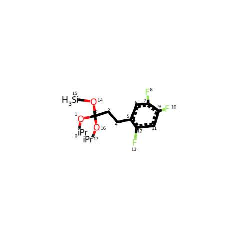 CC(C)OC(CCc1cc(F)c(F)cc1F)(O[SiH3])OC(C)C